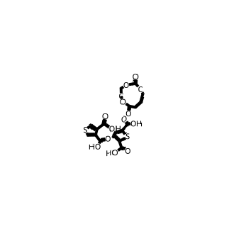 O=C(O)c1ccc(C(=O)O)s1.O=C(O)c1cscc1C(=O)O.O=C1CCCCC(=O)OCCO1